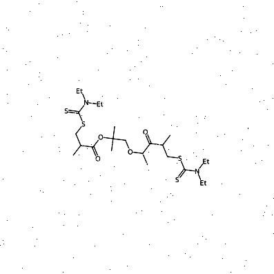 CCN(CC)C(=S)SCC(C)C(=O)OC(C)(C)COC(C)C(=O)C(C)CSC(=S)N(CC)CC